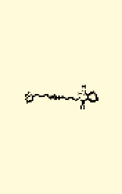 O=C(NCCCCNCCCCCC1CCSS1)c1ccccc1O